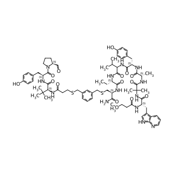 CC[C@H](NC(=O)C(NC(=O)[C@H](Cc1ccc(O)cc1)NC(=O)[C@H](C)NC(=O)C(C)(C)NC(=O)[C@H](Cc1c[nH]c2ncccc12)NC(=O)CCOC)C(C)C)C(=O)N[C@H](CSCc1cccc(CSCCC(=O)N[C@H](C(=O)N[C@@H](Cc2ccc(O)cc2)C(=O)N2CCC[C@H]2C=O)C(C)(C)C)c1)C(N)=O